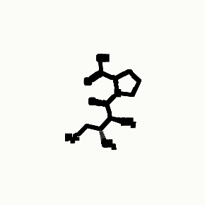 CC[C@@H](C)[C@H](N)C(=O)N1CCCC1C(=O)O